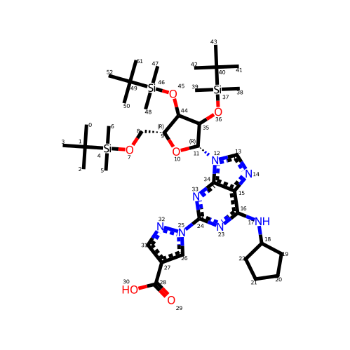 CC(C)(C)[Si](C)(C)OC[C@H]1O[C@@H](n2cnc3c(NC4CCCC4)nc(-n4cc(C(=O)O)cn4)nc32)C(O[Si](C)(C)C(C)(C)C)C1O[Si](C)(C)C(C)(C)C